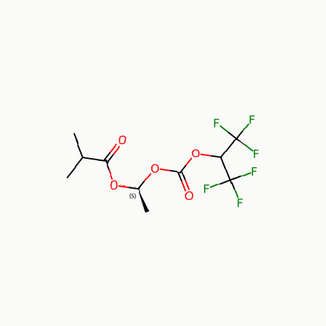 CC(C)C(=O)O[C@H](C)OC(=O)OC(C(F)(F)F)C(F)(F)F